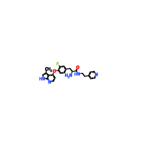 Cc1c[nH]c2nccc(Oc3ccc(CC(N)C(=O)NCCc4ccncc4)cc3F)c12